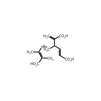 C=C(C(=O)O)C(C)C=CC(=O)O.CCCCC(C)=C(C)C(=O)O